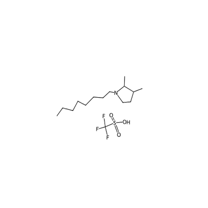 CCCCCCCCN1CCC(C)C1C.O=S(=O)(O)C(F)(F)F